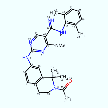 CNc1nc(Nc2ccc3c(c2)C(C)(C)N(C(=O)C(F)(F)F)CC3)ncc1C(=N)Nc1c(C)cccc1C